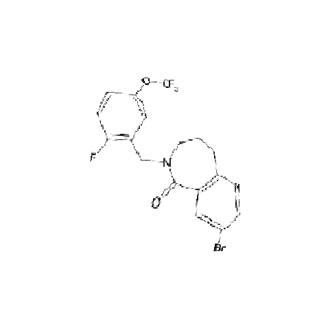 O=C1c2cc(Br)cnc2CCCN1Cc1cc(OC(F)(F)F)ccc1F